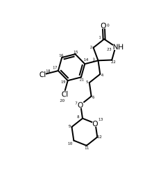 O=C1CC(CCCOC2CCCCO2)(c2ccc(Cl)c(Cl)c2)CN1